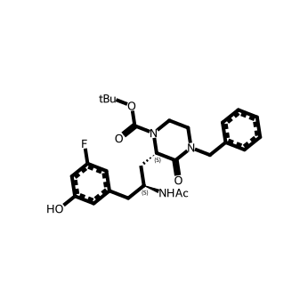 CC(=O)N[C@@H](Cc1cc(O)cc(F)c1)C[C@H]1C(=O)N(Cc2ccccc2)CCN1C(=O)OC(C)(C)C